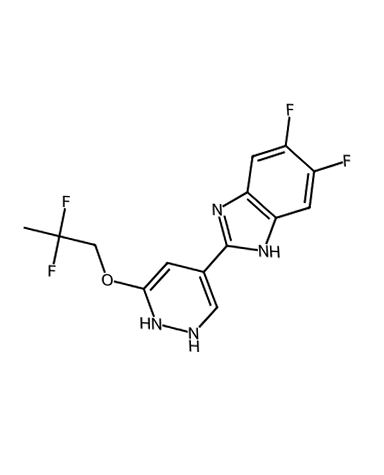 CC(F)(F)COC1=CC(c2nc3cc(F)c(F)cc3[nH]2)=CNN1